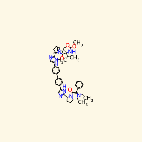 CCN(CC)[C@@H](C(=O)N1CCCC1c1ncc(-c2ccc(-c3ccc(-c4cnc([C@@H]5CCCN5C(=O)C(C)(NC(=O)OC)C(C)C)[nH]4)cc3)cc2)[nH]1)c1ccccc1